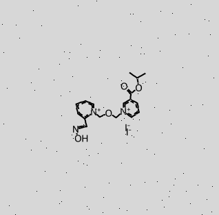 CC(C)OC(=O)c1ccc[n+](COC[n+]2ccccc2C=NO)c1.[I-].[I-]